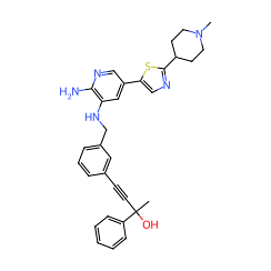 CN1CCC(c2ncc(-c3cnc(N)c(NCc4cccc(C#CC(C)(O)c5ccccc5)c4)c3)s2)CC1